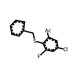 CC(=O)c1cc(Cl)cc(F)c1SCc1ccccc1